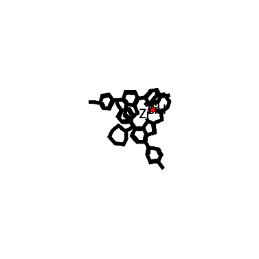 Cc1ccc(-c2ccc(-c3ccc(C)cc3)c3c2C=C(CC2CCCCCC2)[CH]3[Zr]([CH]2C(CC3CCCCCC3)=Cc3c(-c4ccc(C)cc4)ccc(-c4ccc(C)cc4)c32)[SiH](C)C)cc1